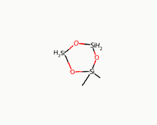 C[Si]1(C)O[SiH2]O[SiH2]O1